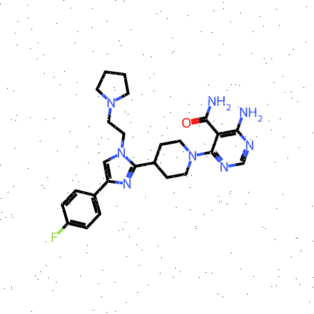 NC(=O)c1c(N)ncnc1N1CCC(c2nc(-c3ccc(F)cc3)cn2CCN2CCCC2)CC1